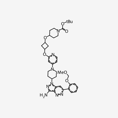 COCOc1ccccc1-c1cc2c(nn1)c(N)nn2C1CCN(c2ccnc(OC3CC(OC4CCN(C(=O)OC(C)(C)C)CC4)C3)c2)CC1